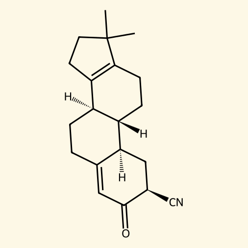 CC1(C)CCC2=C1CC[C@@H]1[C@H]3C[C@@H](C#N)C(=O)C=C3CC[C@@H]21